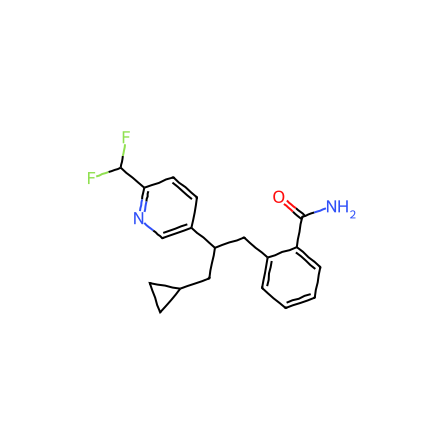 NC(=O)c1ccccc1CC(CC1CC1)c1ccc(C(F)F)nc1